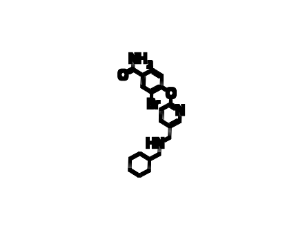 NC(=O)c1ccc(Oc2ccc(CNCC3CCCCC3)cn2)c(Br)c1